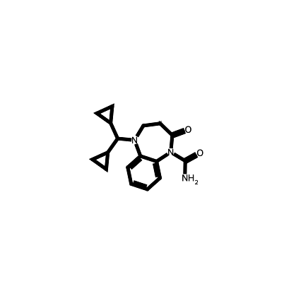 NC(=O)N1C(=O)[C]CN(C(C2CC2)C2CC2)c2ccccc21